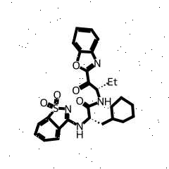 CC[C@H](NC(=O)[C@H](CC1CCCCC1)NC1=NS(=O)(=O)c2ccccc21)C(=O)c1nc2ccccc2o1